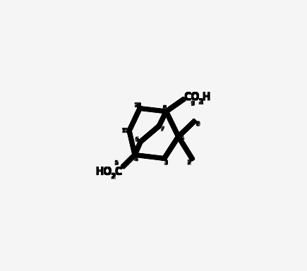 CC1(C)CC2(C(=O)O)CCC1(C(=O)O)CC2